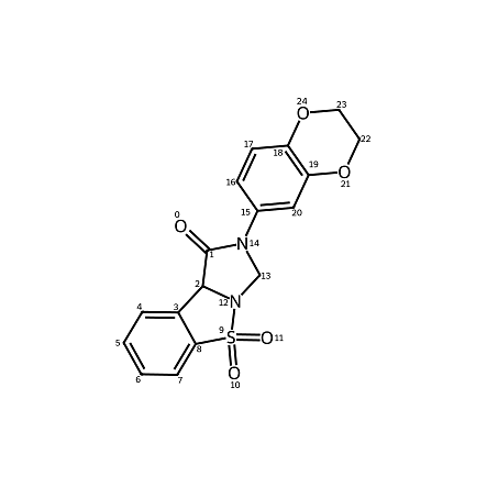 O=C1C2c3ccccc3S(=O)(=O)N2CN1c1ccc2c(c1)OCCO2